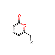 CC(C)Cc1cccc(=O)o1